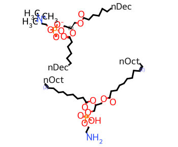 CCCCCCCC/C=C\CCCCCCCC(=O)OCC(COP(=O)(O)OCCN)OC(=O)CCCCCCC/C=C\CCCCCCCC.CCCCCCCCCCCCCCCC(=O)OC[C@H](COP(=O)([O-])OCC[N+](C)(C)C)OC(=O)CCCCCCCCCCCCCCC